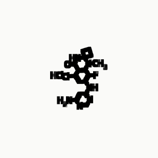 CN1c2c(F)c(Nc3cc(N)ncn3)cc(Cl)c2C(=O)NC12CCC2.Cl